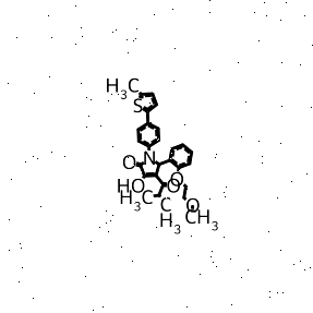 COCCOc1ccccc1C1C(C(=O)C(C)C)=C(O)C(=O)N1c1ccc(-c2ccc(C)s2)cc1